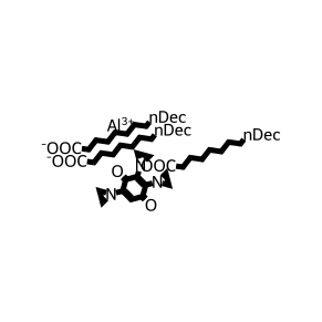 CCCCCCCCCCCCCCCCCC(=O)[O-].CCCCCCCCCCCCCCCCCC(=O)[O-].CCCCCCCCCCCCCCCCCC(=O)[O-].O=C1C=C(N2CC2)C(=O)C(N2CC2)=C1N1CC1.[Al+3]